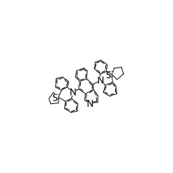 c1ccc2c(c1)N(c1c3ccccc3c(N3c4ccccc4[Si]4(CCCC4)c4ccccc43)c3cnccc13)c1ccccc1[Si]21CCCC1